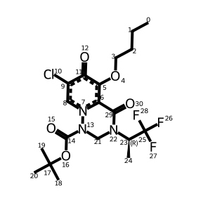 CCCCOc1c2n(cc(Cl)c1=O)N(C(=O)OC(C)(C)C)CN([C@H](C)C(F)(F)F)C2=O